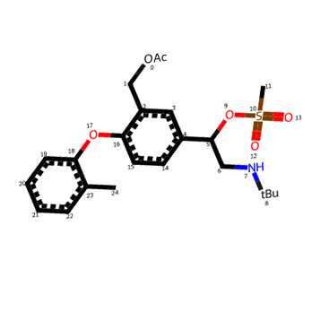 CC(=O)OCc1cc(C(CNC(C)(C)C)OS(C)(=O)=O)ccc1Oc1ccccc1C